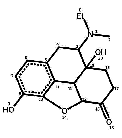 CCN(C)C1Cc2ccc(O)c3c2C2C(O3)C(=O)CCC21O